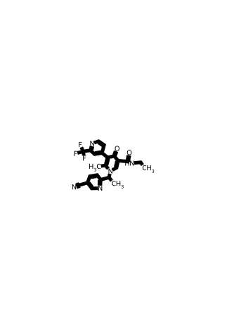 CCNC(=O)c1cn(C(C)c2ccc(C#N)cn2)c(C)c(-c2ccnc(C(F)(F)F)c2)c1=O